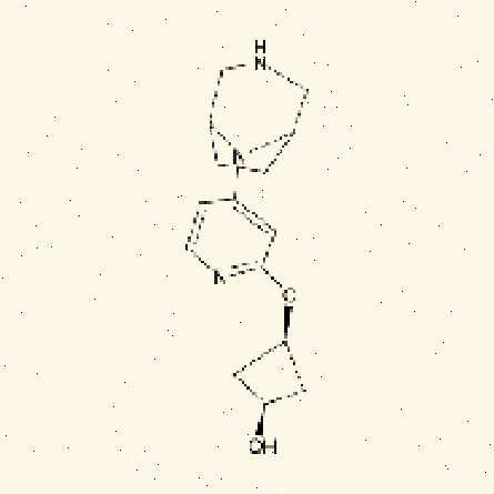 O[C@H]1C[C@@H](Oc2cc(N3C4CCC3CNC4)ccn2)C1